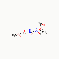 COC(=O)/C=C/C(=O)SCCNC(=O)CCNC(=O)[C@@H]1OC(CC(C)=O)OCC1(C)C